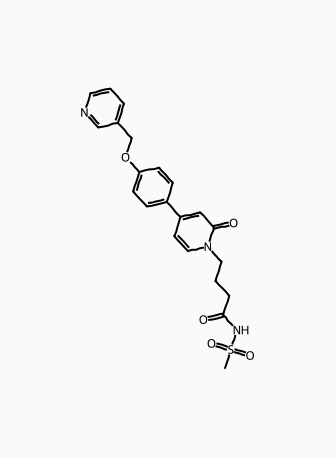 CS(=O)(=O)NC(=O)CCCn1ccc(-c2ccc(OCc3cccnc3)cc2)cc1=O